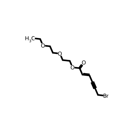 CCOCCOCCOC(=O)C=CC#CCBr